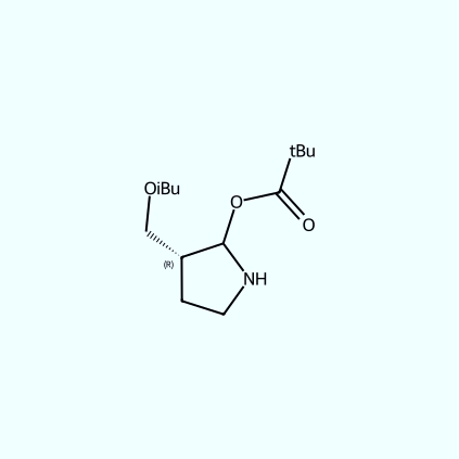 CC(C)COC[C@H]1CCNC1OC(=O)C(C)(C)C